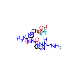 Cn1cc(NC(=O)c2ccc3cnc(NCCN)nn23)c(C(N)=O)n1.O=C(O)C(F)(F)F